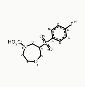 O=C(O)N1CCOCC(S(=O)(=O)c2ccc(F)cc2)C1